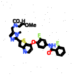 COCCN(Cc1cnc(-c2cc3nccc(Oc4ccc(NC(=O)c5ccccc5F)cc4F)c3s2)n1C)C(=O)O